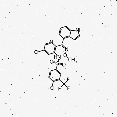 CON=C(c1ncc(Cl)cc1NS(=O)(=O)c1ccc(Cl)c(C(F)(F)F)c1)c1cccc2[nH]ccc12